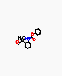 C[C@@H](C1CCCCC1NC(=O)Oc1ccccc1)[C@@H]1CO1